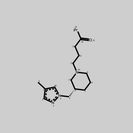 Cc1cnn(C[C@H]2CCCN(CCCC(=O)C(C)C)C2)c1